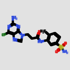 Cc1ccc(S(N)(=O)=O)cc1NC(=O)CCn1cnc2c(Cl)nc(N)nc21